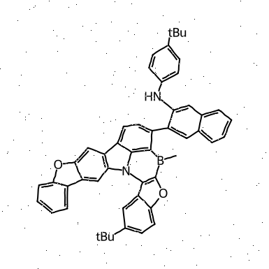 CB1c2oc3ccc(C(C)(C)C)cc3c2-n2c3cc4c(cc3c3ccc(-c5cc6ccccc6cc5Nc5ccc(C(C)(C)C)cc5)c1c32)oc1ccccc14